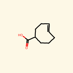 O=C(O)C1CC/C=C/CCC1